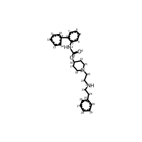 O=C(Nc1ccccc1-c1ccccc1)OC1CCN(CCNCCc2ccccc2)CC1